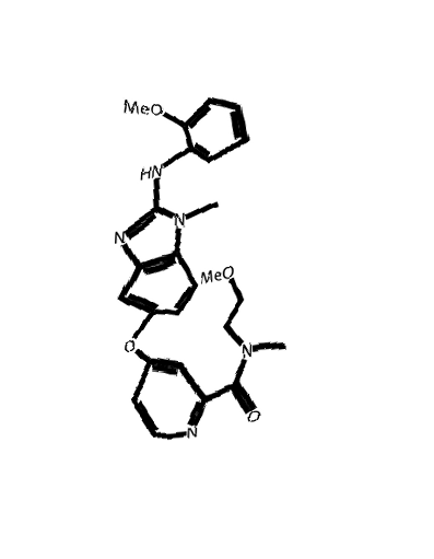 COCCN(C)C(=O)c1cc(Oc2ccc3c(c2)nc(Nc2ccccc2OC)n3C)ccn1